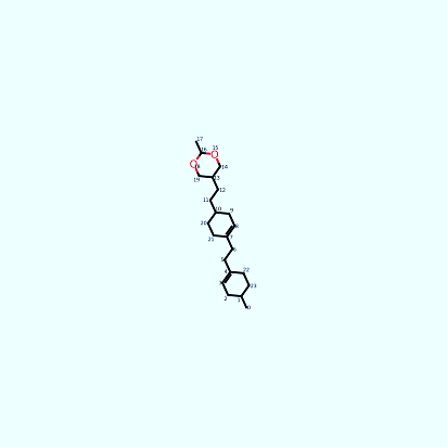 CC1CC=C(CCC2=CCC(CCC3COC(C)OC3)CC2)CC1